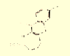 CCOC(=O)C1CCCC2=C(N1)N(C)c1ccc(C)cc1C2